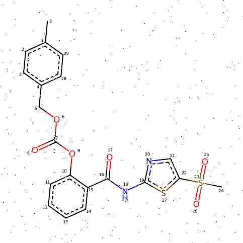 Cc1ccc(COC(=O)Oc2ccccc2C(=O)Nc2ncc(S(C)(=O)=O)s2)cc1